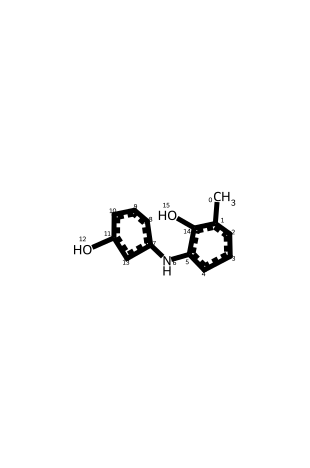 Cc1cccc(Nc2cccc(O)c2)c1O